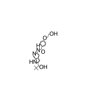 CC(C)(C)C(O)c1cc2cc(NC(=O)c3ccc(OCCO)cc3)ncc2[nH]1